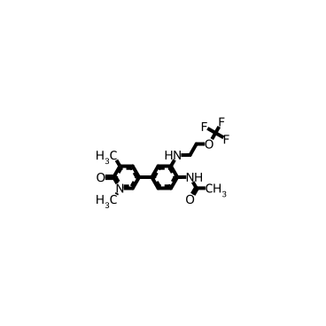 CC(=O)Nc1ccc(-c2cc(C)c(=O)n(C)c2)cc1NCCOC(F)(F)F